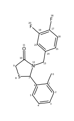 Cc1ccccc1C1SCC(=O)N1Cc1ccc(F)c(F)c1